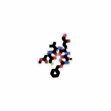 COC(=O)C[C@H](NC(=O)[C@@H](NC(=O)[C@H](CCC(=O)C=O)NC(=O)[C@H](C)NC(=O)OCc1ccccc1)C(C)C)C(=O)CF